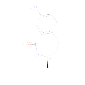 C[C@@H]1COc2ncc(N)cc2C(=O)N1C